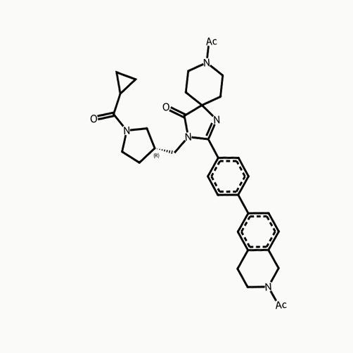 CC(=O)N1CCC2(CC1)N=C(c1ccc(-c3ccc4c(c3)CCN(C(C)=O)C4)cc1)N(C[C@@H]1CCN(C(=O)C3CC3)C1)C2=O